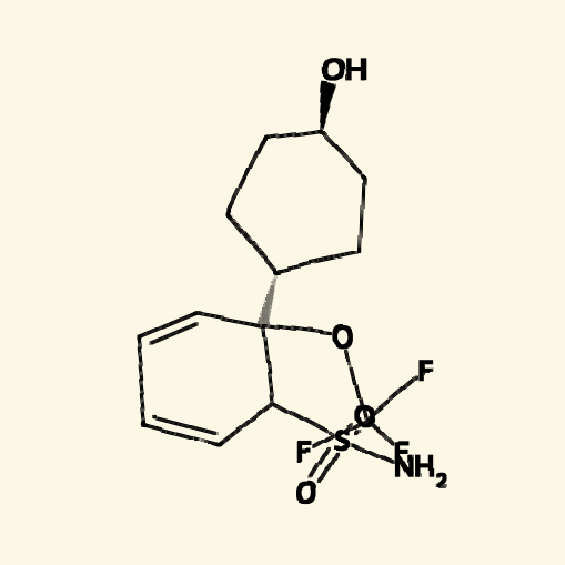 NS(=O)(=O)C1C=CC=CC1(OC(F)(F)F)[C@H]1CC[C@H](O)CC1